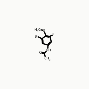 CSc1c(F)cc(NC(C)=O)cc1Br